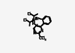 CC(Cl)NC(C)Cl.ClC(Cl)(Cl)c1ncnc(-c2ccccc2Br)n1